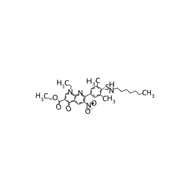 CCCCCCCNSc1c(C)cc(-c2nc3c(cc2[N+](=O)[O-])c(=O)c(C(=O)OCC)cn3CC)cc1C